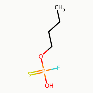 CCCCOP(O)(F)=S